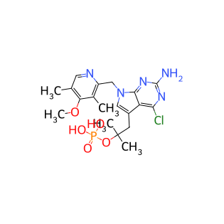 COc1c(C)cnc(Cn2cc(CC(C)(C)OP(=O)(O)O)c3c(Cl)nc(N)nc32)c1C